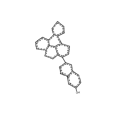 Oc1ccc2cc(-c3ccc4c5ccccc5c5cccc6ccc3c4c65)ccc2c1